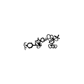 CC(C)C1(c2noc(C3CCC(F)(F)CC3)n2)CCN(C(=O)[C@@H]2C[C@H](S(C)(=O)=O)CN2C(=O)OC(C)(C)C)CC1